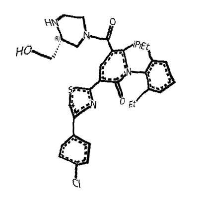 CCc1cccc(CC)c1-n1c(C(C)C)c(C(=O)N2CCN[C@@H](CO)C2)cc(-c2nc(-c3ccc(Cl)cc3)cs2)c1=O